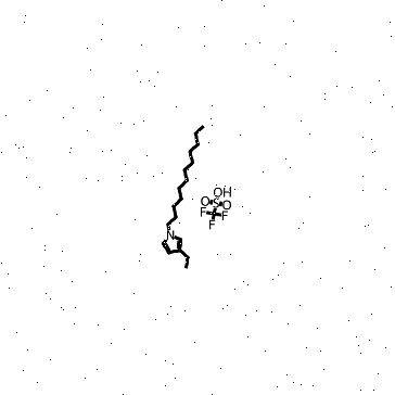 CCCCCCCCCCCCn1ccc(CC)c1.O=S(=O)(O)C(F)(F)F